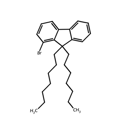 CCCCCCCC1(CCCCCCC)c2ccccc2-c2cccc(Br)c21